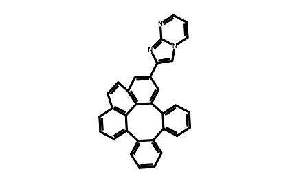 c1ccc2c(c1)c1ccccc1c1cc(-c3cn4cccnc4n3)cc3ccc4cccc2c4c31